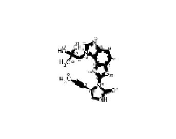 CC#C[C@@H]1CNC(=O)N1c1nc2c(ccc3ncn(CC(C)(C)O)c32)s1